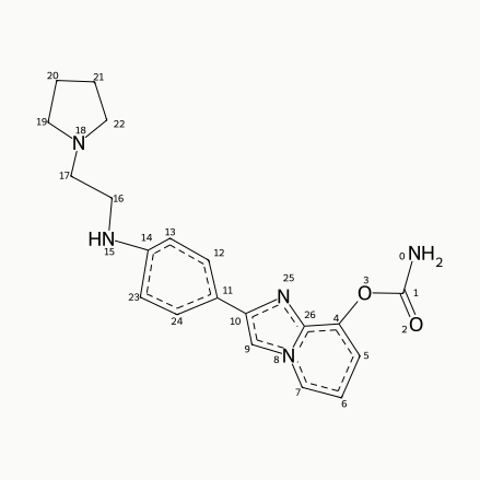 NC(=O)Oc1cccn2cc(-c3ccc(NCCN4CCCC4)cc3)nc12